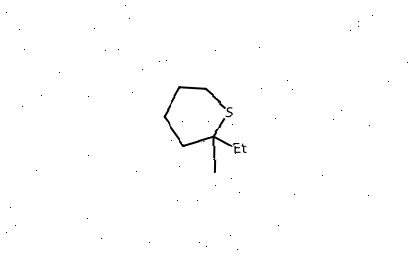 [CH2]CC1(C)CCCCS1